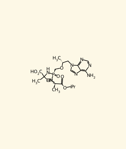 CC(C)OC(=O)[C@@H](C)N[P@](=O)(CO[C@H](C)Cn1cnc2c(N)ncnc21)NC(C)(C)C(=O)O